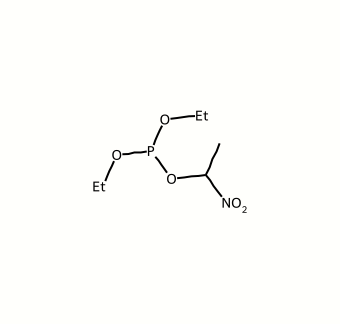 CCOP(OCC)OC(C)[N+](=O)[O-]